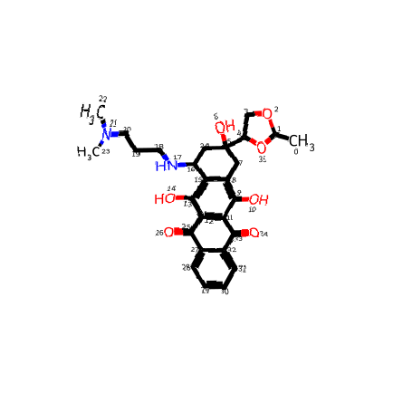 CC1OCC(C2(O)Cc3c(O)c4c(c(O)c3C(NCCCN(C)C)C2)C(=O)c2ccccc2C4=O)O1